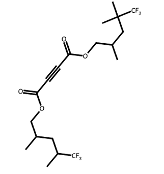 CC(COC(=O)C#CC(=O)OCC(C)CC(C)(C)C(F)(F)F)CC(C)C(F)(F)F